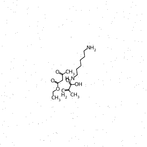 C=C(C)C(=O)O.CCOC(=O)CC(C)=O.NCCCCCCN